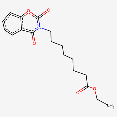 CCOC(=O)CCCCCCCn1c(=O)oc2ccccc2c1=O